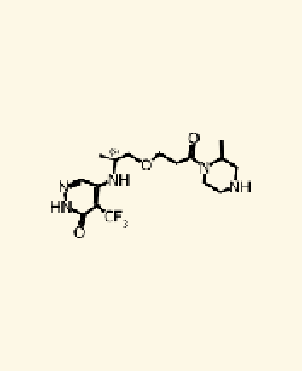 CC1CNCCN1C(=O)CCOC[C@H](C)Nc1cn[nH]c(=O)c1C(F)(F)F